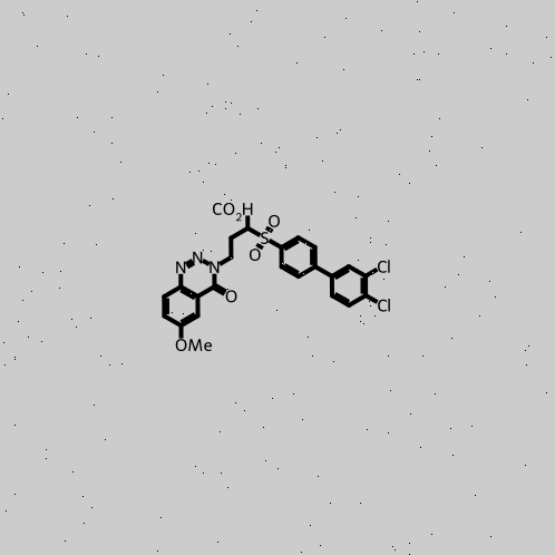 COc1ccc2nnn(CCC(C(=O)O)S(=O)(=O)c3ccc(-c4ccc(Cl)c(Cl)c4)cc3)c(=O)c2c1